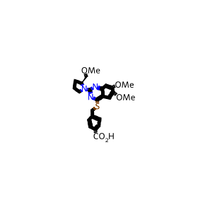 COC[C@@H]1CCCN1c1nc(SCc2ccc(C(=O)O)cc2)c2cc(OC)c(OC)cc2n1